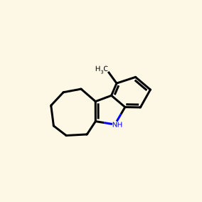 Cc1cccc2[nH]c3c(c12)CCCCCC3